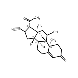 CC(=O)[C@H]1C(C#N)C[C@H]2[C@@H]3CCC4=CC(=O)CC[C@]4(C)[C@@]3(F)C(O)C[C@]12C